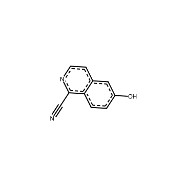 N#Cc1nccc2cc(O)ccc12